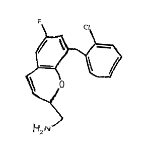 NCC1C=Cc2cc(F)cc(-c3ccccc3Cl)c2O1